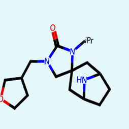 CC(C)N1C(=O)N(CC2CCOC2)CC12CC1CCC(C2)N1